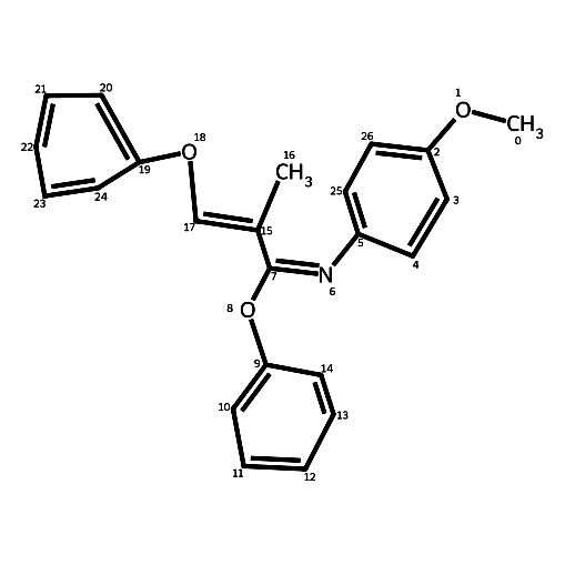 COc1ccc(/N=C(Oc2ccccc2)\C(C)=C\Oc2ccccc2)cc1